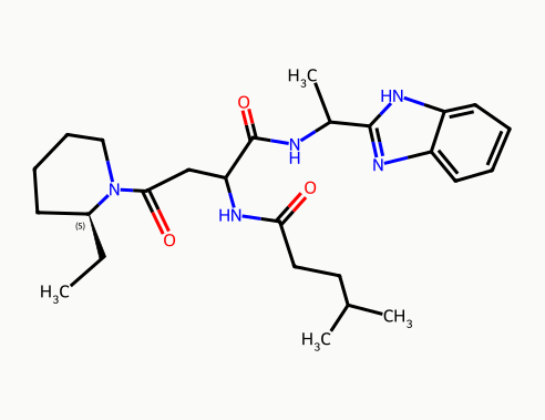 CC[C@H]1CCCCN1C(=O)CC(NC(=O)CCC(C)C)C(=O)NC(C)c1nc2ccccc2[nH]1